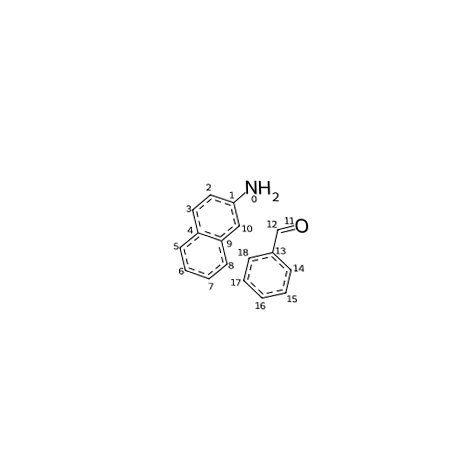 Nc1ccc2ccccc2c1.O=Cc1ccccc1